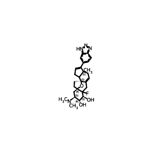 CN(C)[C@H]1C[C@@]23CC[C@@]4(O2)C(=CC[C@]2(C)C(c5ccc6nn[nH]c6c5)=CCC24)CC3(F)[C@@H](O)[C@@H]1O